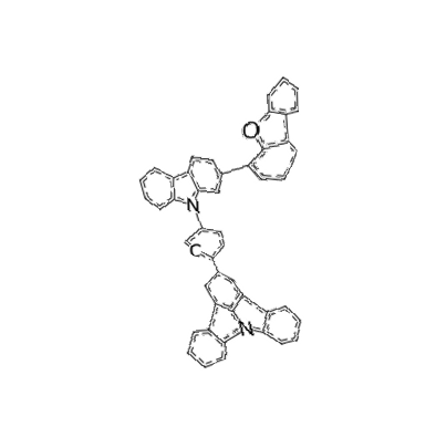 c1ccc2c(c1)oc1c(-c3ccc4c5ccccc5n(-c5ccc(-c6cc7c8ccccc8n8c9ccccc9c(c6)c78)cc5)c4c3)cccc12